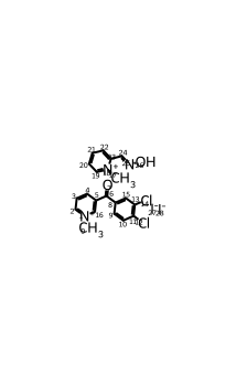 C[n+]1cccc(C(=O)c2ccc(Cl)c(Cl)c2)c1.C[n+]1ccccc1C=NO.[I-].[I-]